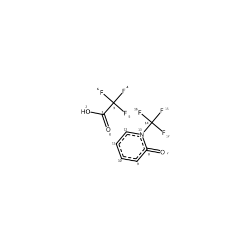 O=C(O)C(F)(F)F.O=c1ccccn1C(F)(F)F